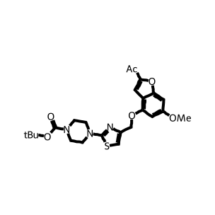 COc1cc(OCc2csc(N3CCN(C(=O)OC(C)(C)C)CC3)n2)c2cc(C(C)=O)oc2c1